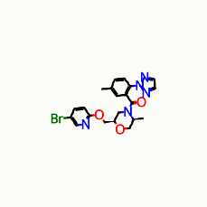 Cc1ccc(-n2nccn2)c(C(=O)N2C[C@H](COc3ccc(Br)cn3)OC[C@@H]2C)c1